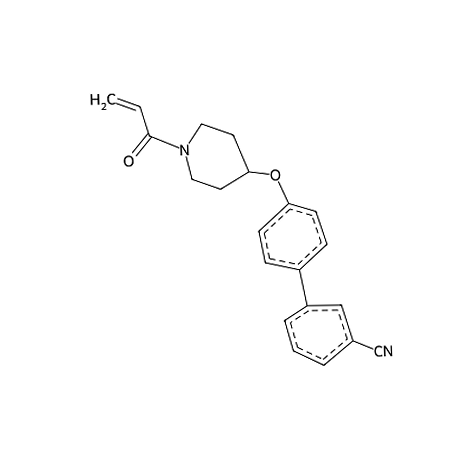 C=CC(=O)N1CCC(Oc2ccc(-c3cccc(C#N)c3)cc2)CC1